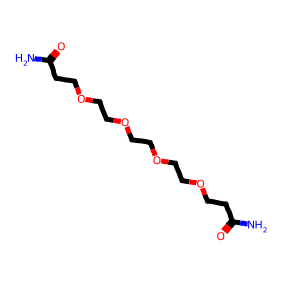 NC(=O)CCOCCOCCOCCOCCC(N)=O